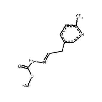 CCCCOC(=O)NN=CCc1ccc(C(F)(F)F)nc1